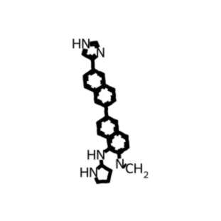 C=Nc1ccc2cc(-c3ccc4cc(-c5c[nH]cn5)ccc4c3)ccc2c1NC1CCCN1